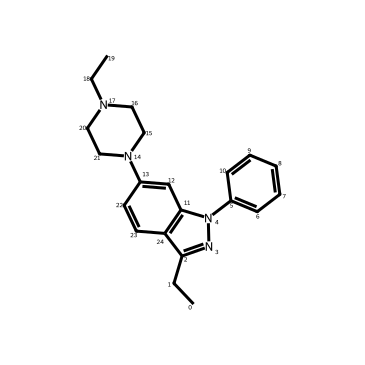 CCc1nn(-c2ccccc2)c2cc(N3CCN(CC)CC3)ccc12